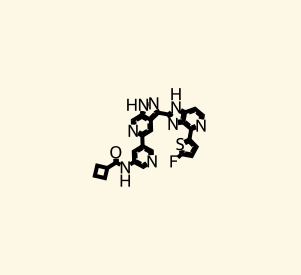 O=C(Nc1cncc(-c2cc3c(-c4nc5c(-c6ccc(F)s6)nccc5[nH]4)n[nH]c3cn2)c1)C1CCC1